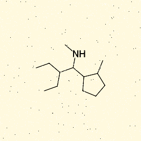 CCC(CC)C(NC)C1CCCC1C